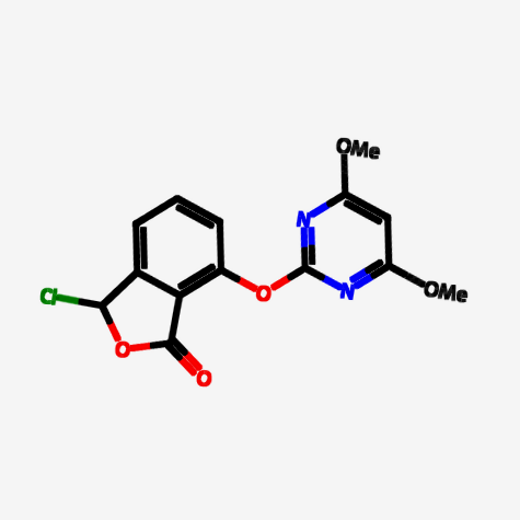 COc1cc(OC)nc(Oc2cccc3c2C(=O)OC3Cl)n1